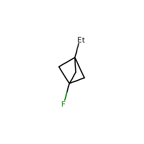 CCC12CC(F)(C1)C2